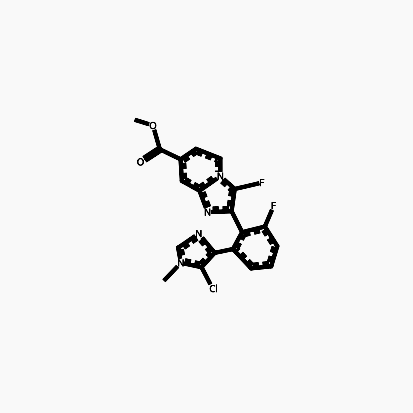 COC(=O)c1ccn2c(F)c(-c3c(F)cccc3-c3ncn(C)c3Cl)nc2c1